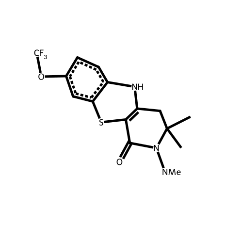 CNN1C(=O)C2=C(CC1(C)C)Nc1ccc(OC(F)(F)F)cc1S2